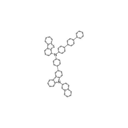 c1ccc(-c2ccc(-c3ccc(N(c4ccc(-c5ccc6c(c5)c5ccccc5n6-c5ccc6ccccc6c5)cc4)c4cccc5c4sc4ccccc45)cc3)cc2)cc1